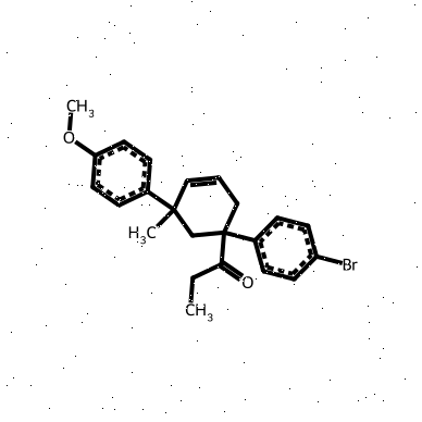 CCC(=O)C1(c2ccc(Br)cc2)CC=CC(C)(c2ccc(OC)cc2)C1